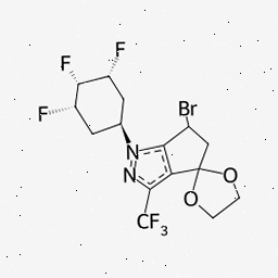 F[C@@H]1[C@H](F)C[C@@H](n2nc(C(F)(F)F)c3c2C(Br)CC32OCCO2)C[C@@H]1F